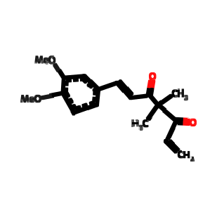 C=CC(=O)C(C)(C)C(=O)C=Cc1ccc(OC)c(OC)c1